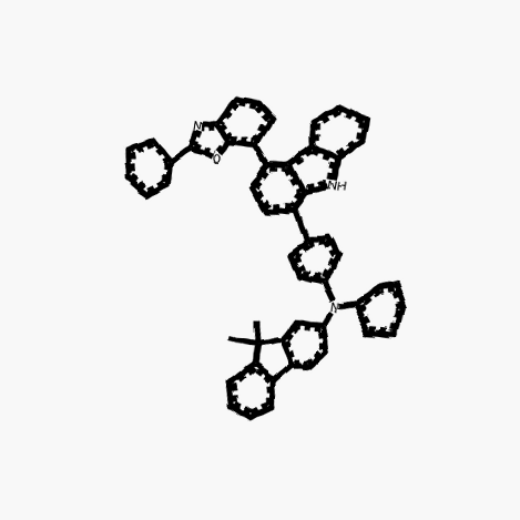 CC1(C)c2ccccc2-c2ccc(N(c3ccccc3)c3ccc(-c4ccc(-c5cccc6nc(-c7ccccc7)oc56)c5c4[nH]c4ccccc45)cc3)cc21